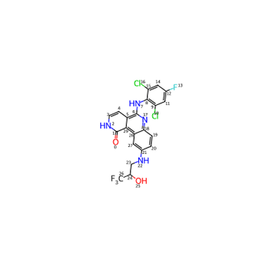 O=c1[nH]ccc2c(Nc3c(Cl)cc(F)cc3Cl)nc3ccc(NCC(O)C(F)(F)F)cc3c12